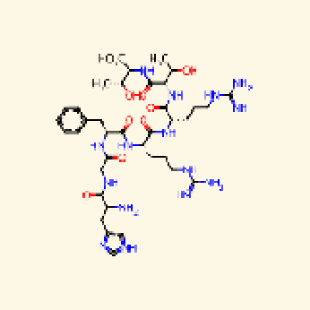 C[C@@H](O)[C@H](NC(=O)[C@@H](NC(=O)[C@H](CCCNC(=N)N)NC(=O)[C@H](CCCNC(=N)N)NC(=O)[C@H](Cc1ccccc1)NC(=O)CNC(=O)[C@@H](N)Cc1c[nH]cn1)[C@@H](C)O)C(=O)O